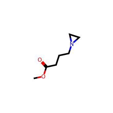 COC(=O)CCCN1CC1